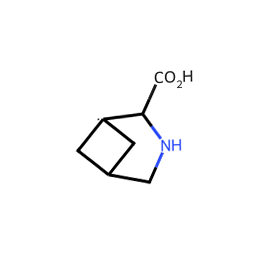 O=C(O)C1NCC2C[C]1C2